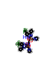 O=C(/C=C/C(=O)OC1(SCCN2CCCCC2)CN=C(c2ccccc2)c2cc(C(F)(F)F)ccc2N1)OC1(SCCN2CCCCC2)CN=C(c2ccccc2)c2cc(C(F)(F)F)ccc2N1